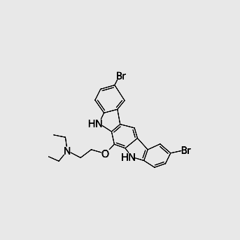 CCN(CC)CCOc1c2[nH]c3ccc(Br)cc3c2cc2c1[nH]c1ccc(Br)cc12